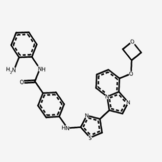 Nc1ccccc1NC(=O)c1ccc(Nc2nc(-c3cnc4c(OC5COC5)cccn34)cs2)cc1